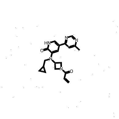 C=CC(=O)N1CC(N(CC2CC2)c2cc(-c3cc(C)ncn3)c[nH]c2=O)C1